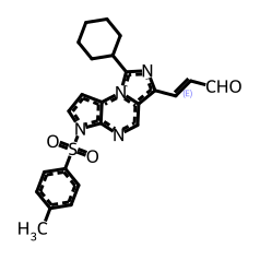 Cc1ccc(S(=O)(=O)n2ccc3c2ncc2c(/C=C/C=O)nc(C4CCCCC4)n23)cc1